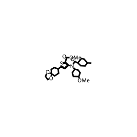 COC(=O)c1sc(C2CCC3(CC2)OCCO3)cc1N(C(=O)C1CCC(C)CC1)C1CCC(OC)CC1